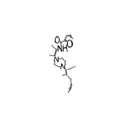 CC#CC/C(C)=C(\C)N1CCN(/C(C)=C(/C)NC(=O)c2ccco2)CC1